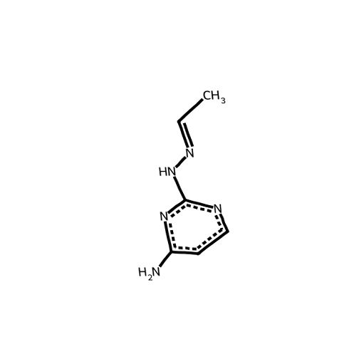 CC=NNc1nccc(N)n1